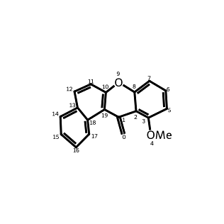 C=C1c2c(OC)cccc2Oc2ccc3ccccc3c21